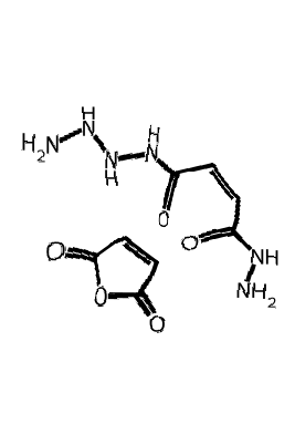 NNNNC(=O)/C=C\C(=O)NN.O=C1C=CC(=O)O1